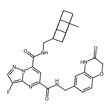 CC12C3C4C1C1C2C3C41CNC(=O)c1cc(C(=O)NCc2ccc3c(c2)NC(=O)CO3)nc2c(F)cnn12